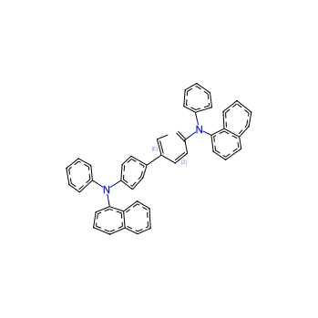 C=C(/C=C\C(=C/C)c1ccc(N(c2ccccc2)c2cccc3ccccc23)cc1)N(c1ccccc1)c1cccc2ccccc12